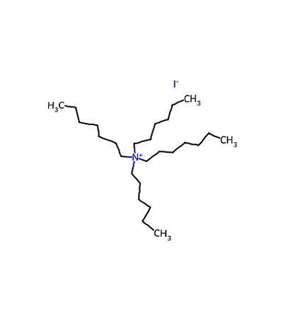 CCCCCCC[N+](CCCCCC)(CCCCCC)CCCCCCC.[I-]